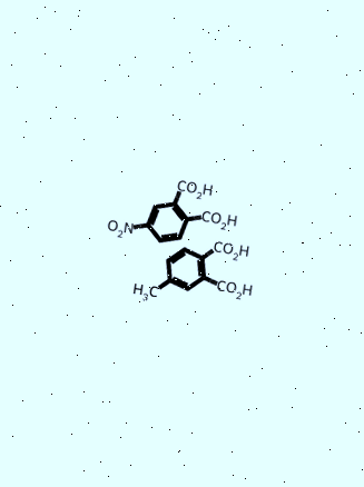 Cc1ccc(C(=O)O)c(C(=O)O)c1.O=C(O)c1ccc([N+](=O)[O-])cc1C(=O)O